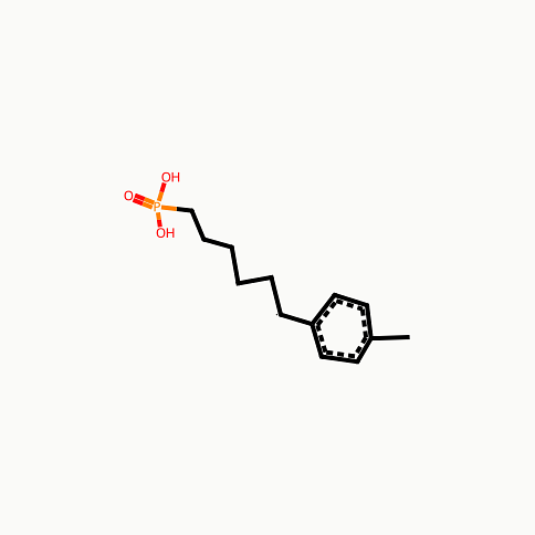 Cc1ccc([CH]CCCCCP(=O)(O)O)cc1